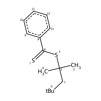 CC(C)(C)CC(C)(C)SC(=S)c1ccccc1